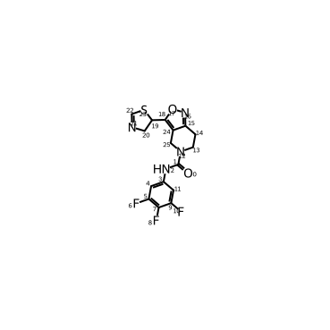 O=C(Nc1cc(F)c(F)c(F)c1)N1CCc2noc(C3CN=CS3)c2C1